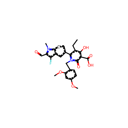 CCc1c(O)c(C(=O)O)c(=O)n(Cc2ccc(OC)cc2OC)c1-c1ccc2c(c1)c(F)c(C=O)n2C